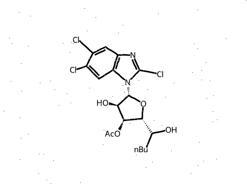 CCCCC(O)[C@H]1O[C@@H](n2c(Cl)nc3cc(Cl)c(Cl)cc32)[C@H](O)[C@@H]1OC(C)=O